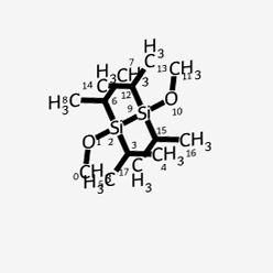 CO[Si](C(C)C)(C(C)C)[Si](OC)(C(C)C)C(C)C